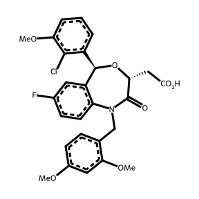 COc1ccc(CN2C(=O)[C@@H](CC(=O)O)O[C@H](c3cccc(OC)c3Cl)c3cc(F)ccc32)c(OC)c1